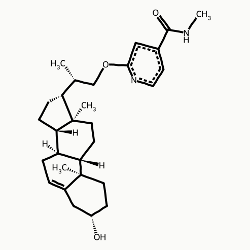 CNC(=O)c1ccnc(OC[C@@H](C)[C@H]2CC[C@H]3[C@@H]4CC=C5C[C@@H](O)CC[C@]5(C)[C@H]4CC[C@]23C)c1